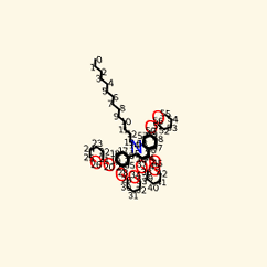 CCCCCCCCCCCCCCn1c(-c2ccc(OC3CCCCO3)c(OC3CCCCO3)c2)c(OC2CCCCO2)c(=O)c2ccc(OC3CCCCO3)cc21